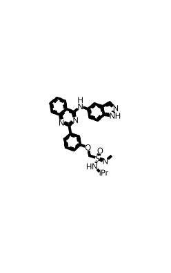 CN=S(=O)(COc1cccc(-c2nc(Nc3ccc4[nH]ncc4c3)c3ccccc3n2)c1)NC(C)C